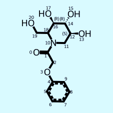 O=C(COc1ccccc1)N1C[C@H](O)[C@@H](O)[C@H](O)C1CO